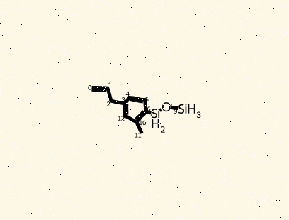 C=CCc1ccc([SiH2]O[SiH3])c(C)c1